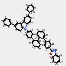 c1ccc(-c2ccc3c(c2)c2cc(-c4ccccc4)ccc2n3-c2ccc(-c3ccccc3-c3ccccc3-c3ccc(-c4nc5ccccc5o4)cc3)cc2)cc1